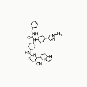 Cn1cc(-c2ccc(N(C(=O)NCc3ccccc3)C3CCC(Nc4ncc(C#N)c(-c5ccc6nccn6c5)n4)CC3)nc2)cn1